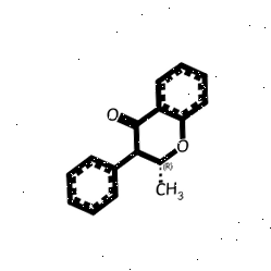 C[C@H]1Oc2ccccc2C(=O)C1c1ccccc1